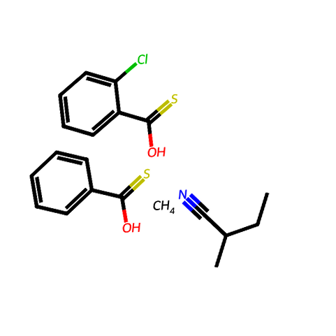 C.CCC(C)C#N.OC(=S)c1ccccc1.OC(=S)c1ccccc1Cl